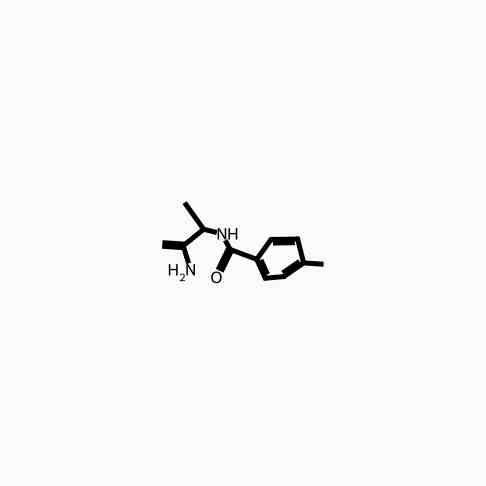 C=C(N)C(C)NC(=O)c1ccc(C)cc1